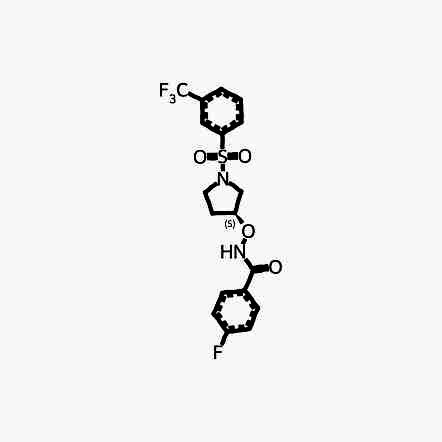 O=C(NO[C@H]1CCN(S(=O)(=O)c2cccc(C(F)(F)F)c2)C1)c1ccc(F)cc1